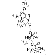 CCOc1nc(N)nc2c1ncn2[C@@H]1O[C@H](COP(=O)(O)N[C@@H](C)COC(=O)C(C)(C)C)CC1(C)C